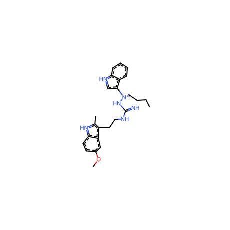 CCCC=[N+](NC(=N)NCCc1c(C)[nH]c2ccc(OC)cc12)c1c[nH]c2ccccc12